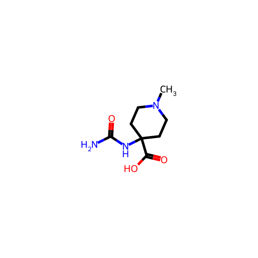 CN1CCC(NC(N)=O)(C(=O)O)CC1